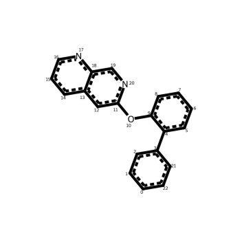 c1ccc(-c2ccccc2Oc2cc3cccnc3cn2)cc1